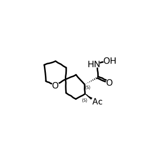 CC(=O)[C@H]1CCC2(CCCCO2)C[C@@H]1C(=O)NO